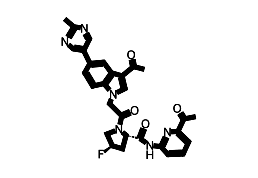 CC(=O)c1cccc(NC(=O)[C@@H]2C[C@@H](F)CN2C(=O)Cn2cc(C(C)=O)c3cc(-c4cnc(C)nc4)ccc32)n1